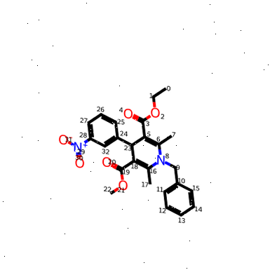 CCOC(=O)C1=C(C)N(Cc2ccccc2)C(C)=C(C(=O)OC)C1c1cccc([N+](=O)[O-])c1